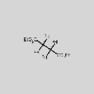 [2H]C([2H])(C(=O)OCC)C([2H])([2H])C(=O)OCC